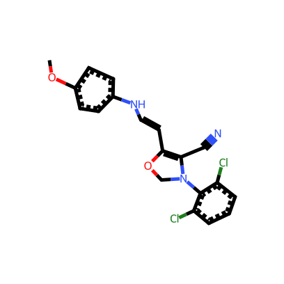 COc1ccc(N/C=C/C2=C(C#N)N(c3c(Cl)cccc3Cl)CO2)cc1